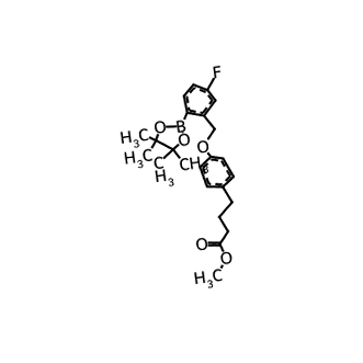 COC(=O)CCCc1ccc(OCc2cc(F)ccc2B2OC(C)(C)C(C)(C)O2)cc1